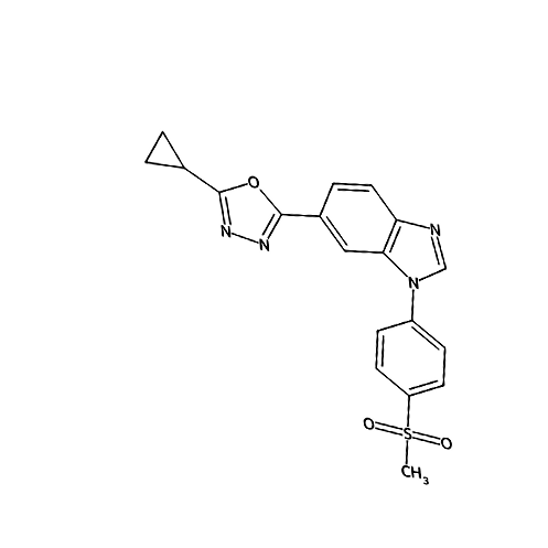 CS(=O)(=O)c1ccc(-n2cnc3ccc(-c4nnc(C5CC5)o4)cc32)cc1